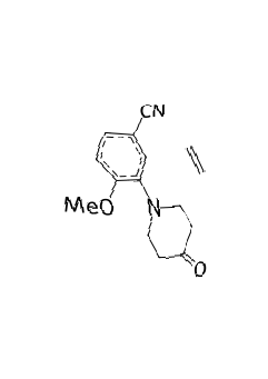 C=C.COc1ccc(C#N)cc1N1CCC(=O)CC1